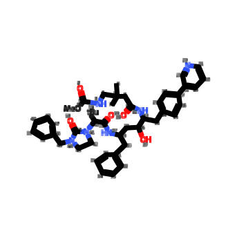 COC(=O)NCC(C)(C)CC(=O)NC(Cc1ccc(-c2cccnc2)cc1)C(O)CC(Cc1ccccc1)NC(=O)C(N1CCN(Cc2ccccc2)C1=O)C(C)(C)C